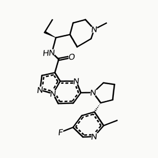 CC[C@H](NC(=O)c1cnn2ccc(N3CCC[C@@H]3c3cc(F)cnc3C)nc12)C1CCN(C)CC1